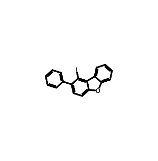 Ic1c(-c2ccccc2)ccc2oc3ccccc3c12